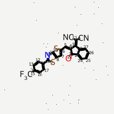 N#CC(C#N)=C1/C(=C/c2cc3sc(-c4ccc(C(F)(F)F)cc4)nc3s2)C(=O)c2ccccc21